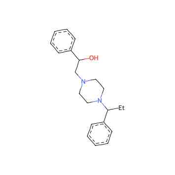 CCC(c1ccccc1)N1CCN(CC(O)c2ccccc2)CC1